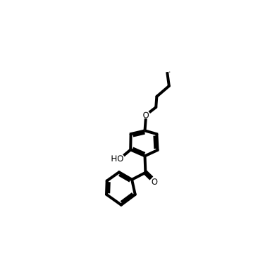 [CH2]CCCOc1ccc(C(=O)c2ccccc2)c(O)c1